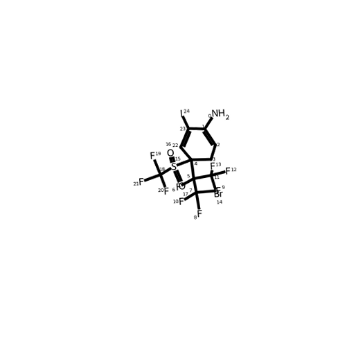 NC1=CCC(C(F)(C(F)(F)F)C(F)(F)Br)(S(=O)(=O)C(F)(F)F)C=C1I